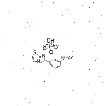 CC(=O)Nc1cccc(C2CN3C=CSC3=N2)c1.[O-][Cl+3]([O-])([O-])O